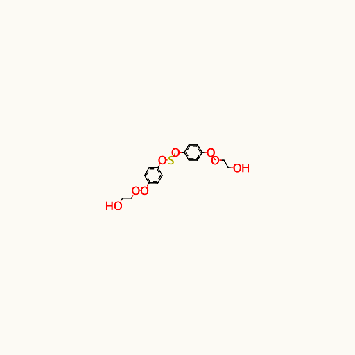 OCCOOc1ccc(OSOc2ccc(OOCCO)cc2)cc1